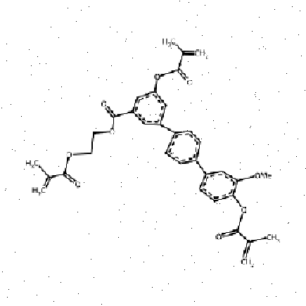 C=C(C)C(=O)OCCOC(=O)c1cc(OC(=O)C(=C)C)cc(-c2ccc(-c3ccc(OC(=O)C(=C)C)c(OC)c3)cc2)c1